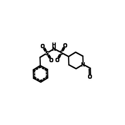 O=CN1CCC(S(=O)(=O)NS(=O)(=O)Cc2ccccc2)CC1